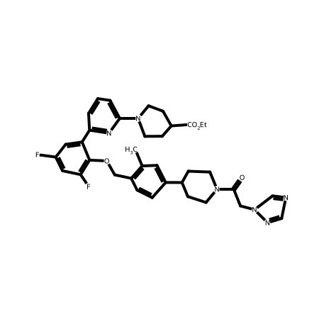 CCOC(=O)C1CCN(c2cccc(-c3cc(F)cc(F)c3OCc3ccc(C4CCN(C(=O)Cn5cncn5)CC4)cc3C)n2)CC1